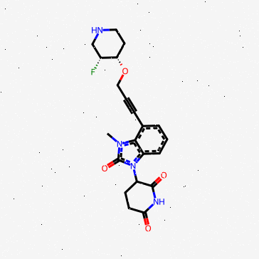 Cn1c(=O)n(C2CCC(=O)NC2=O)c2cccc(C#CCO[C@H]3CCNC[C@H]3F)c21